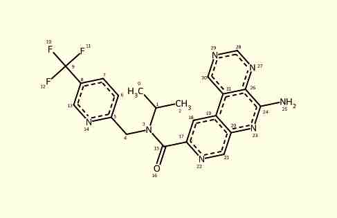 CC(C)N(Cc1ccc(C(F)(F)F)cn1)C(=O)c1cc2c(cn1)nc(N)c1ncncc12